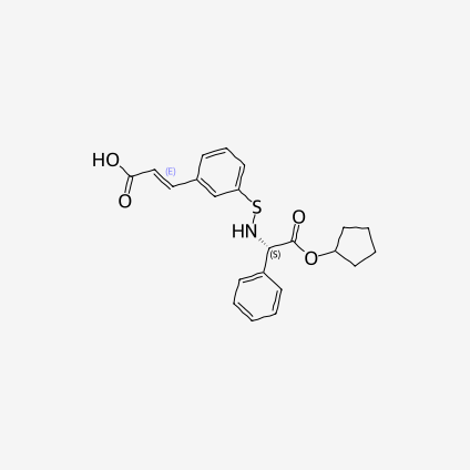 O=C(O)/C=C/c1cccc(SN[C@H](C(=O)OC2CCCC2)c2ccccc2)c1